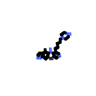 Cc1c(Nc2c(C#N)cncc2C=CCCCN2CCNCC2)ccc2[nH]ccc12